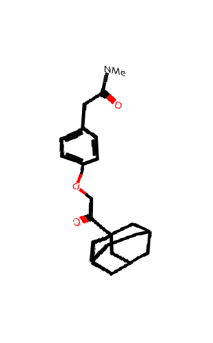 CNC(=O)Cc1ccc(OCC(=O)C23CC4CC(CC(C4)C2)C3)cc1